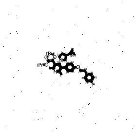 Cc1nc(C)c(C(OC(C)(C)C)C(=O)OC(C)C)c(N2CCC(C3CC3)C2)c1-c1ccc(OCCc2ccc(F)cc2)cc1